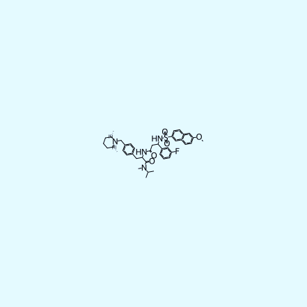 COc1ccc2cc(S(=O)(=O)NC(CC(=O)NC(Cc3ccc(CN4[C@H](C)CCC[C@@H]4C)cc3)C(=O)N(C)C(C)C)c3cccc(F)c3)ccc2c1